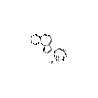 C1=CNN=NN=C1.Cl.c1cc2cccc3ccccc3c-2c1